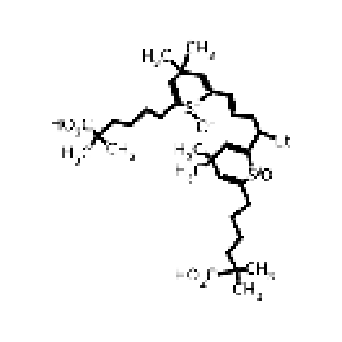 CCC(CC=CC1=CC(C)(C)C=C(CCCCC(C)(C)C(=O)O)[S+]1[O-])C1=CC(C)(C)C=C(CCCCC(C)(C)C(=O)O)[S+]1[O-]